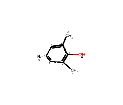 Cc1cccc(C)c1O.[Na]